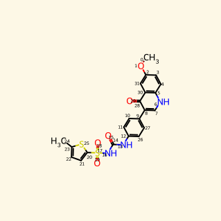 COc1ccc2[nH]cc(-c3ccc(NC(=O)NS(=O)(=O)c4ccc(C)s4)cc3)c(=O)c2c1